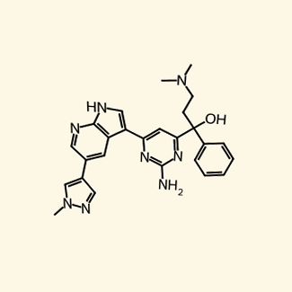 CN(C)CCC(O)(c1ccccc1)c1cc(-c2c[nH]c3ncc(-c4cnn(C)c4)cc23)nc(N)n1